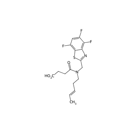 CC=CCCN(Cc1nc2c(F)c(F)cc(F)c2s1)C(=O)CCC(=O)O